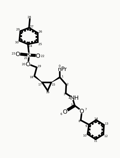 CCCC(CCNC(=O)OCc1ccccc1)[C@H]1C[C@H]1CCOS(=O)(=O)c1ccc(C)cc1